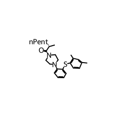 CCCCC[C@H](C)C(=O)N1CCN(c2ccccc2Sc2ccc(C)cc2C)CC1